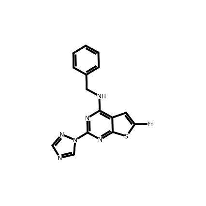 CCc1cc2c(NCc3ccccc3)nc(-n3cncn3)nc2s1